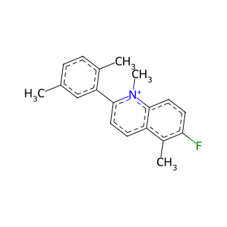 Cc1ccc(C)c(-c2ccc3c(C)c(F)ccc3[n+]2C)c1